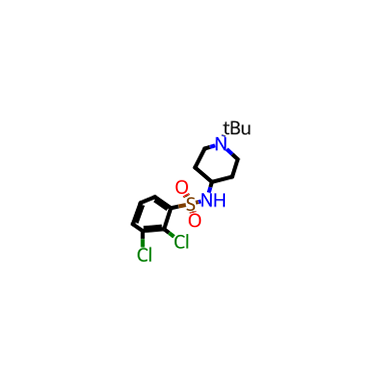 CC(C)(C)N1CCC(NS(=O)(=O)c2cccc(Cl)c2Cl)CC1